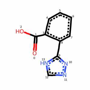 O=C(O)c1ccccc1-c1nnc[nH]1